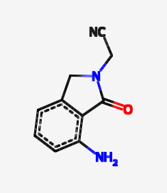 N#CCN1Cc2cccc(N)c2C1=O